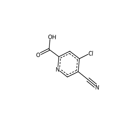 N#Cc1cnc(C(=O)O)cc1Cl